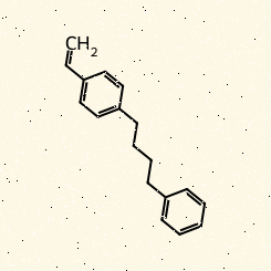 C=Cc1ccc(CCCCc2ccccc2)cc1